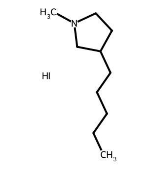 CCCCCC1CCN(C)C1.I